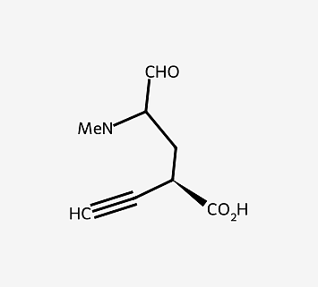 C#C[C@@H](CC(C=O)NC)C(=O)O